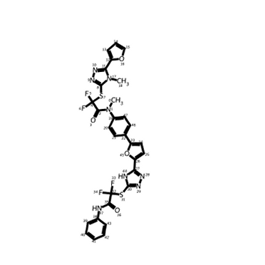 CN(C(=O)C(F)(F)Sc1nnc(-c2ccco2)n1C)c1ccc(-c2ccc(-c3nnc(SC(F)(F)C(=O)Nc4ccccc4)[nH]3)o2)cc1